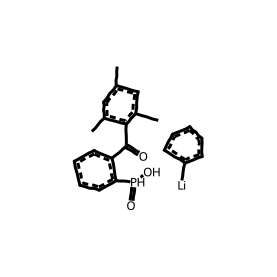 Cc1cc(C)c(C(=O)c2ccccc2[PH](=O)O)c(C)c1.[Li][c]1ccccc1